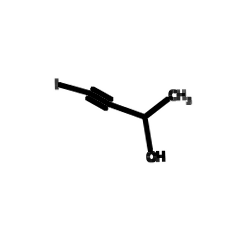 CC(O)C#CI